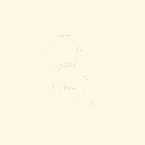 NP(N)(=O)Nc1ncccn1